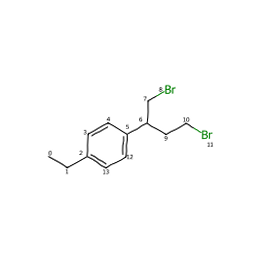 CCc1ccc(C(CBr)CCBr)cc1